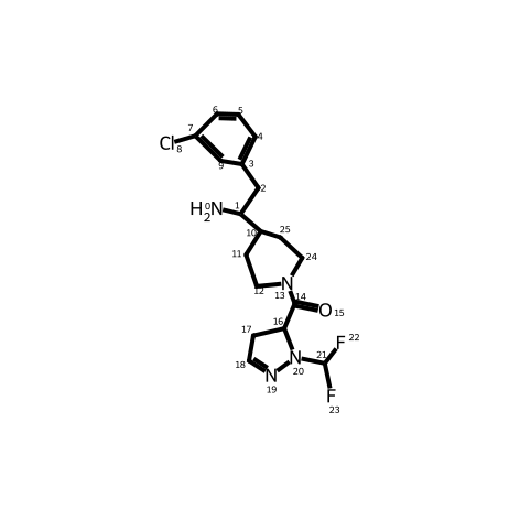 NC(Cc1cccc(Cl)c1)C1CCN(C(=O)C2CC=NN2C(F)F)CC1